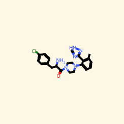 Cc1cccc(N2CCN(C(=O)C(N)Cc3ccc(Cl)cc3)CC2)c1-c1nc[nH]n1